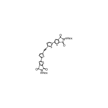 CCCCCCN1C(=O)c2cc(-c3ccc(C#Cc4ccc(-c5cc6c(s5)C(=O)N(CCCCCC)C6=O)s4)s3)sc2C1=O